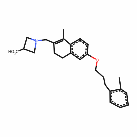 CC1=C(CN2CC(C(=O)O)C2)CCc2cc(OCCCc3ccccc3C)ccc21